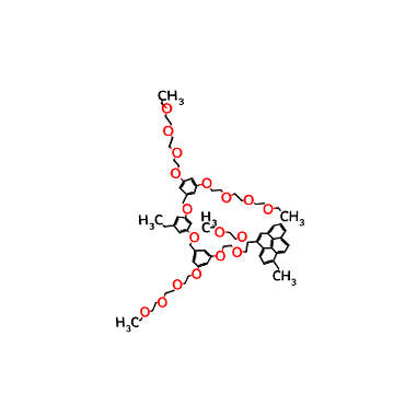 CCOCCOCCOCCOc1cc(COc2cc(CC)cc(OCc3cc(OCCOCCOCCOCC)cc(OCCOCC(OCCOCC)c4cc5cccc6ccc7c(CC)ccc4c7c65)c3)c2)cc(OCCOCCOCCOCC)c1